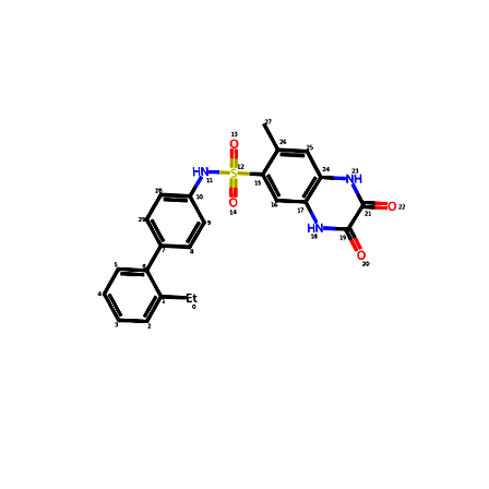 CCc1ccccc1-c1ccc(NS(=O)(=O)c2cc3[nH]c(=O)c(=O)[nH]c3cc2C)cc1